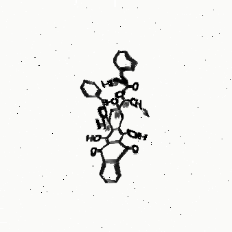 C[C@H](OC(=O)Nc1ccccc1)[C@]12Cc3c(O)c4c(c(O)c3[C@H](C1)OB(c1ccccc1)O2)C(=O)c1ccccc1C4=O